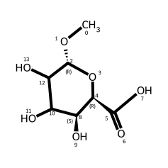 CO[C@@H]1O[C@@H](C(=O)O)[C@@H](O)C(O)C1O